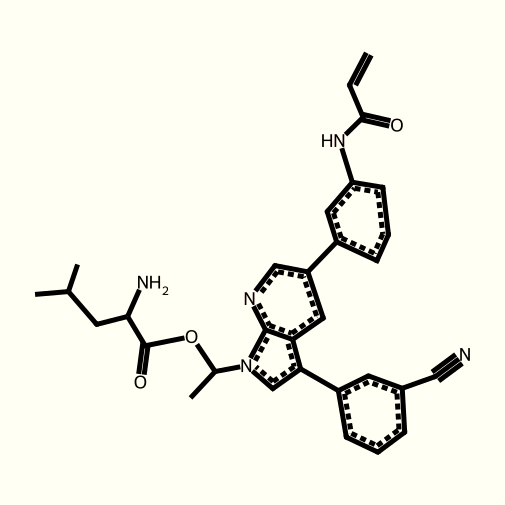 C=CC(=O)Nc1cccc(-c2cnc3c(c2)c(-c2cccc(C#N)c2)cn3C(C)OC(=O)C(N)CC(C)C)c1